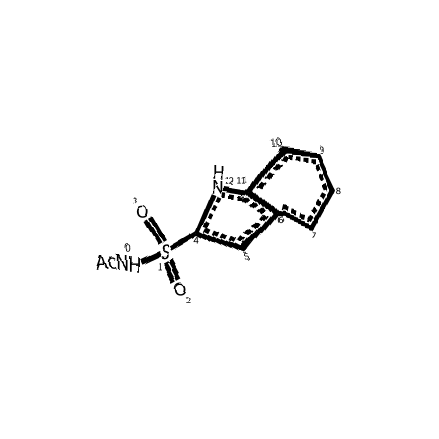 CC(=O)NS(=O)(=O)c1cc2ccccc2[nH]1